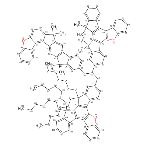 CCCCCCCC1(CCCCCCC)c2cc(CC(Cc3ccc4c(c3)C(C)(C)c3cc5c(cc3-4)C(C)(C)c3ccc4oc6ccccc6c4c3-5)c3ccc4c(c3)C(C)(C)c3c5c(c6c(oc7ccccc76)c3-4)-c3ccccc3C5(C)C)ccc2-c2c1c1c(c3c2oc2ccccc23)-c2ccccc2C1(CCCCCCC)CCCCCCC